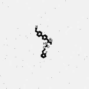 Cc1noc(-c2ccc(-c3ccc(CC#N)cc3)cc2)c1NC(=O)OCCc1ccccc1F